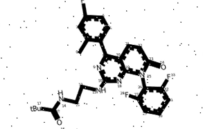 Cc1cc(F)ccc1-c1nc(NCCNC(=O)C(C)(C)C)nc2c1ccc(=O)n2-c1c(F)cccc1F